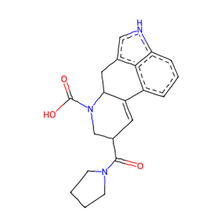 O=C(C1C=C2c3cccc4[nH]cc(c34)CC2N(C(=O)O)C1)N1CCCC1